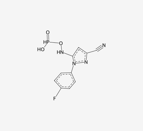 N#Cc1cc(NO[PH](=O)O)n(-c2ccc(F)cc2)n1